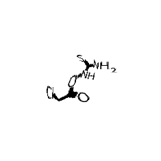 NC(=S)NOC(=O)CCl